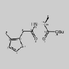 Cc1ccsc1CC(=O)N[C@@H](C)C(=O)OCC(C)C